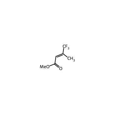 COC(=O)/C=C(\C)C(F)(F)F